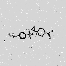 COc1ccc(S(=O)(=O)NC2(C3CCN(C(=O)O)CC3)CC2)cc1